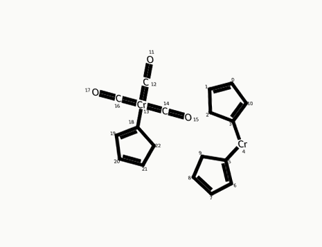 C1=CC[C]([Cr][C]2=CC=CC2)=C1.O=[C]=[Cr](=[C]=O)(=[C]=O)[C]1=CC=CC1